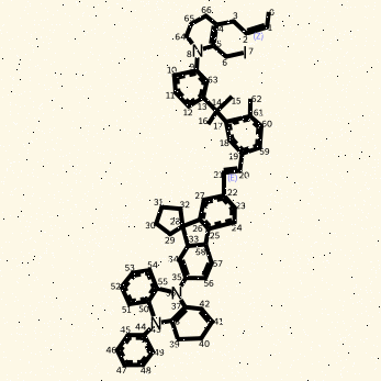 C/C=C\CC1=C(CI)N(c2cccc(C(C)(C)c3cc(/C=C/c4ccc5c(c4)C4(CCCC4)C4C=C(N6C7=C(CCC=C7)N(c7ccccc7)c7ccccc76)C=CC54)ccc3C)c2)CCC1